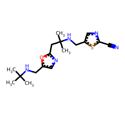 CC(C)(C)NCc1cnc(CC(C)(C)NCc2cnc(C#N)s2)o1